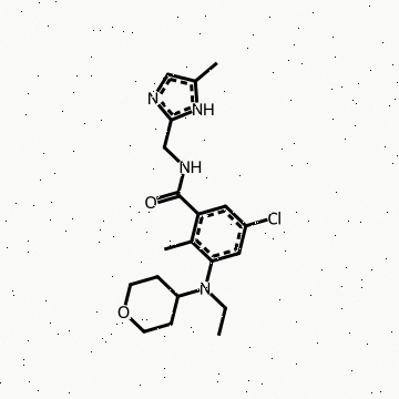 CCN(c1cc(Cl)cc(C(=O)NCc2ncc(C)[nH]2)c1C)C1CCOCC1